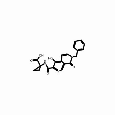 O=C(NC1(C(=O)O)CC1)c1ncc2c(=O)n(Cc3ccccc3)ccc2c1O